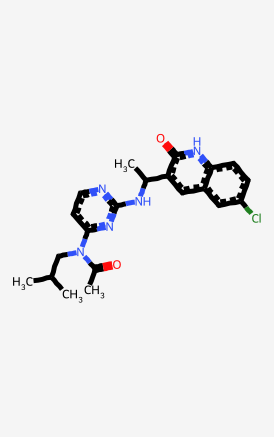 CC(=O)N(CC(C)C)c1ccnc(NC(C)c2cc3cc(Cl)ccc3[nH]c2=O)n1